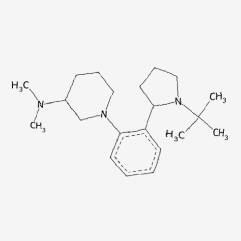 CN(C)C1CCCN(c2ccccc2C2CCCN2C(C)(C)C)C1